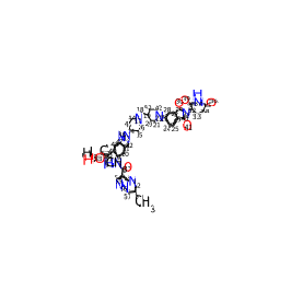 Cc1cnc2c(C(=O)Nc3cc4cn(C5CCN(CC6CCN(c7ccc8c(c7)C(=O)N(C7CCC(=O)NC7=O)C8=O)CC6)CC5)nc4cc3C(C)(C)O)cnn2c1